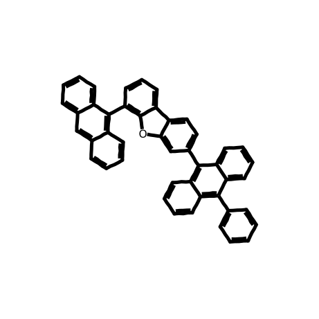 c1ccc(-c2c3ccccc3c(-c3ccc4c(c3)oc3c(-c5c6ccccc6cc6ccccc56)cccc34)c3ccccc23)cc1